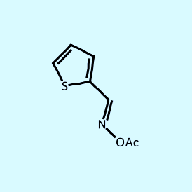 CC(=O)ON=Cc1cccs1